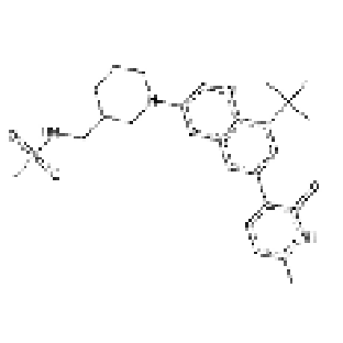 Cc1ccc(-c2cc(C(C)(C)C)c3ncc(N4CCCC(CNS(C)(=O)=O)C4)cc3c2)c(=O)[nH]1